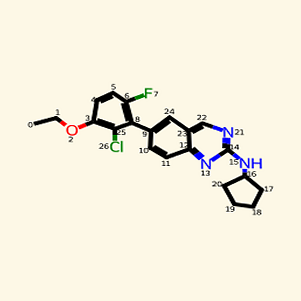 CCOc1ccc(F)c(-c2ccc3nc(NC4CCCC4)ncc3c2)c1Cl